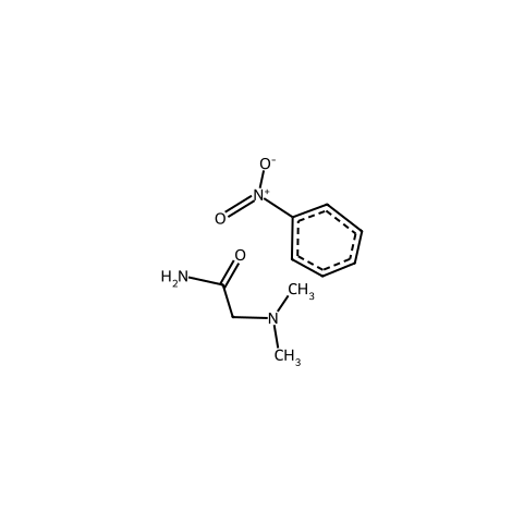 CN(C)CC(N)=O.O=[N+]([O-])c1ccccc1